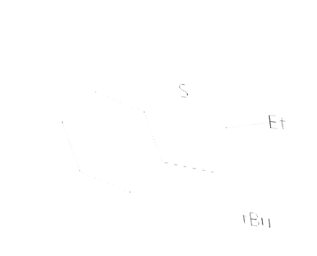 CCC1SC2CCCCC2C1C(C)(C)C